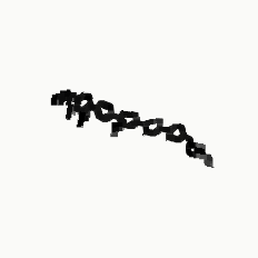 C=CC1CCC(C2CCC(c3ccc(-c4ccc(-c5ccc(CCC)c(F)c5F)cc4)c(F)c3)CC2)CC1